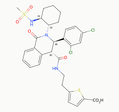 CS(=O)(=O)N[C@H]1CCCC[C@@H]1N1C(=O)c2ccccc2[C@@H](C(=O)NCCc2ccc(C(=O)O)s2)[C@@H]1c1ccc(Cl)cc1Cl